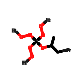 CCOO[Si](OOCC)(OOCC)OC(C)CC(C)C